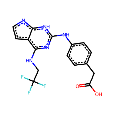 O=C(O)Cc1ccc(Nc2nc(NCC(F)(F)F)c3ccnc-3[nH]2)cc1